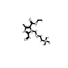 CCOC(=O)c1c(C)nc(C=O)n1COCC[Si](C)(C)C